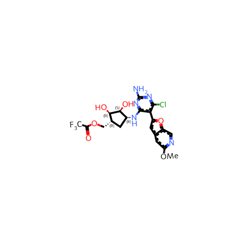 COc1cc2cc(-c3c(Cl)nc(N)nc3N[C@@H]3C[C@H](COC(=O)C(F)(F)F)[C@@H](O)[C@H]3O)oc2cn1